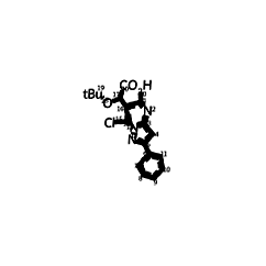 Cc1nc2cc(-c3ccccc3)nn2c(Cl)c1C(OC(C)(C)C)C(=O)O